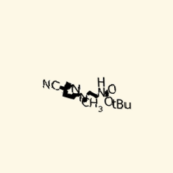 CN(CCNC(=O)OC(C)(C)C)c1ccc(C#N)cn1